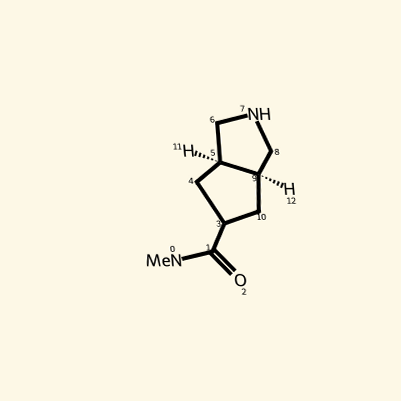 CNC(=O)C1C[C@H]2CNC[C@H]2C1